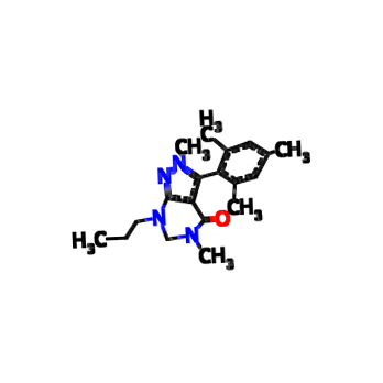 CCCN1CN(C)C(=O)c2c1nn(C)c2-c1c(C)cc(C)cc1C